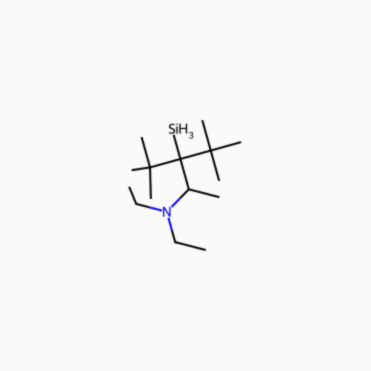 CCN(CC)C(C)C([SiH3])(C(C)(C)C)C(C)(C)C